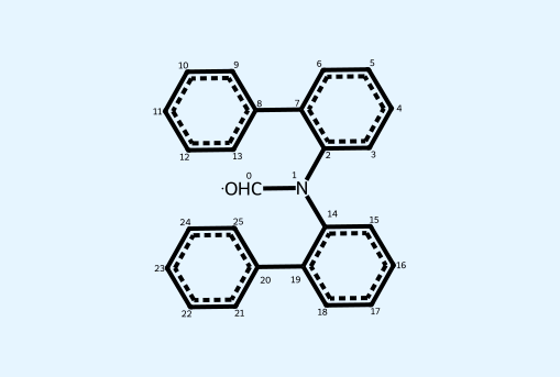 O=[C]N(c1ccccc1-c1ccccc1)c1ccccc1-c1ccccc1